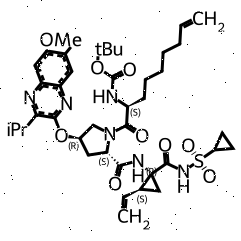 C=CCCCCC[C@H](NC(=O)OC(C)(C)C)C(=O)N1C[C@H](Oc2nc3cc(OC)ccc3nc2C(C)C)C[C@H]1C(=O)N[C@]1(C(=O)NS(=O)(=O)C2CC2)C[C@H]1C=C